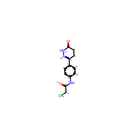 O=C1CCC(c2ccc(NC(=O)CCl)cc2)=NN1